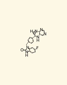 Nc1ncncc1NC(=O)c1ccc(Cn2c(=O)[nH]c3ccc(F)cc32)cc1